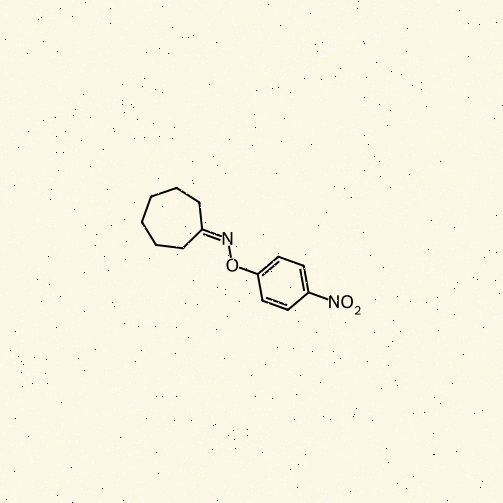 O=[N+]([O-])c1ccc(ON=C2CCCCCC2)cc1